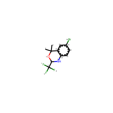 CC1(C)O[C](C(F)(F)F)Nc2ccc(Br)cc21